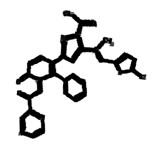 CN(Cc1ccc(Cl)s1)c1cc(-c2ccc(=O)n(CC(=O)c3cnccn3)c2-c2ccccc2)nn1C(=O)C(C)(C)C